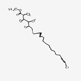 COC(=O)C(Cl)C(Cl)C(Cl)C(Cl)CCCCCCCCCCCCCCl